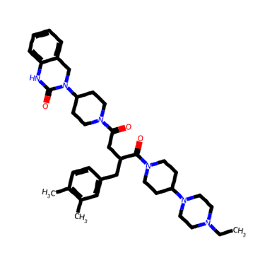 CCN1CCN(C2CCN(C(=O)C(CC(=O)N3CCC(N4Cc5ccccc5NC4=O)CC3)Cc3ccc(C)c(C)c3)CC2)CC1